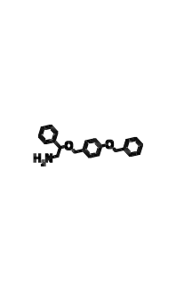 NCC(OCc1ccc(OCc2ccccc2)cc1)c1ccccc1